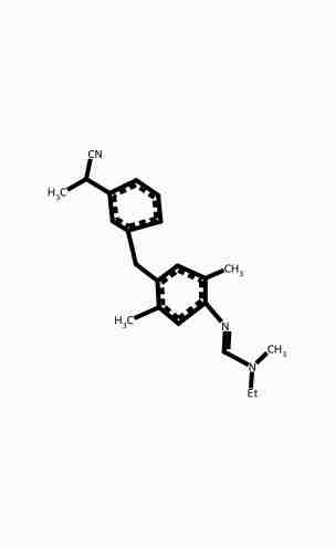 CCN(C)C=Nc1cc(C)c(Cc2cccc(C(C)C#N)c2)cc1C